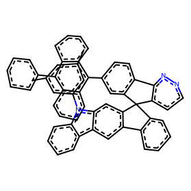 Cc1cc(C)cc(-n2c3ccccc3c3cc4c(cc32)C2(c3ccccc3-4)c3cc(-c4c5ccccc5c(-c5ccccc5)c5ccccc45)ccc3-c3nnccc32)c1